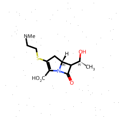 CNCCSC1=C(C(=O)O)N2C(=O)C([C@@H](C)O)[C@H]2C1